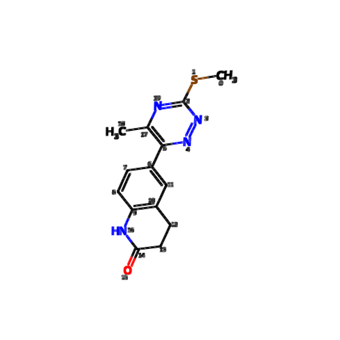 CSc1nnc(-c2ccc3c(c2)CCC(=O)N3)c(C)n1